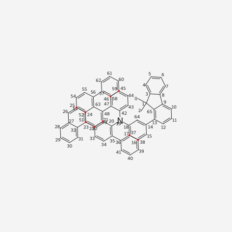 CC1(C)c2ccccc2-c2cccc(-c3cccc(N(c4cc(-c5cccc6ccccc56)ccc4-c4ccccc4)c4ccccc4-c4cccc5cccc(-c6ccccc6)c45)c3)c21